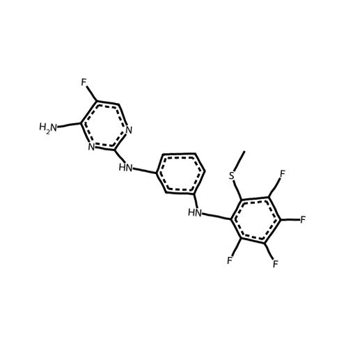 CSc1c(F)c(F)c(F)c(F)c1Nc1cccc(Nc2ncc(F)c(N)n2)c1